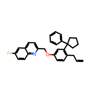 C=CCc1ccc(OCc2ccc3cc(F)ccc3n2)cc1C1(c2ccccc2)CCCC1